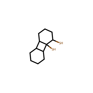 SC1CCCC2C3CCCCC3C12S